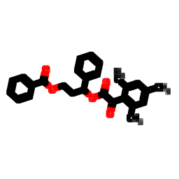 Cc1cc(C)c(C(=O)C(=O)OC(CCOC(=O)c2ccccc2)c2ccccc2)c(C)c1